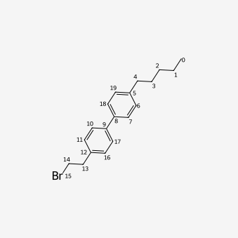 CCCCCc1ccc(-c2ccc(CCBr)cc2)cc1